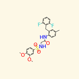 COc1ccc(S(=O)(=O)NCC(=O)Nc2ccc(C)cc2Cc2c(F)cccc2F)cc1OC